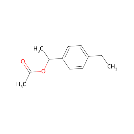 CCc1ccc(C(C)OC(C)=O)cc1